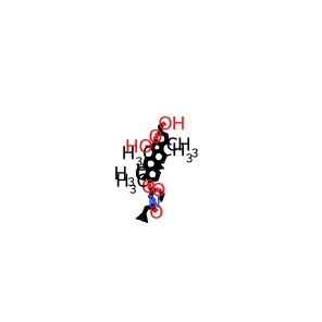 C[C@@H]1CC(CO)OC2C1C1(C)CCC34CC35CCC(OC3CN(C(=O)CC6CC6)CCO3)C(C)(C)[C@@H]5CCC4[C@]1(C)[C@H]2O